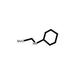 COCNC1CCCCC1